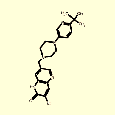 CCc1cc2ncc(CN3CCN(c4ccc(C(C)(C)O)nc4)CC3)cc2[nH]c1=O